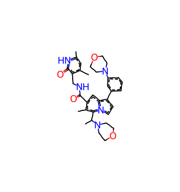 Cc1cc(C)c(CNC(=O)c2cc3c(-c4cccc(N5CCOCC5)c4)ccn3c(C(C)N3CCOCC3)c2C)c(=O)[nH]1